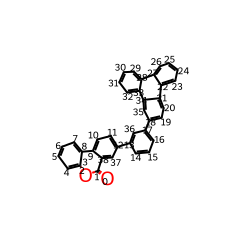 O=c1oc2ccccc2c2ccc(-c3cccc(-c4ccc5c6ccccc6c6ccccc6c5c4)c3)cc12